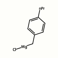 CCCc1ccc([CH2][Mg][Cl])cc1